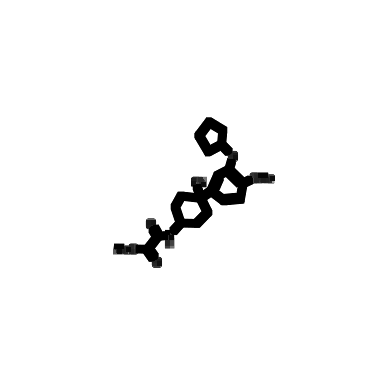 COC(=O)C(=O)NC1CCC(C#N)(c2ccc(OC)c(OC3CCCC3)c2)CC1